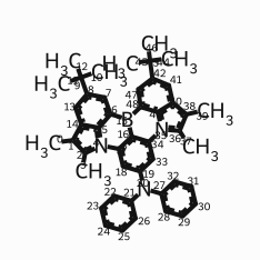 Cc1c(C)n2c3c(cc(C(C)(C)C)cc13)B1c3c-2cc(N(c2ccccc2)c2ccccc2)cc3-n2c(C)c(C)c3cc(C(C)(C)C)cc1c32